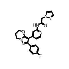 O=C(Cn1cccn1)Nc1cc(-c2c(-c3ccc(F)cc3)nn3c2OCCC3)ccn1